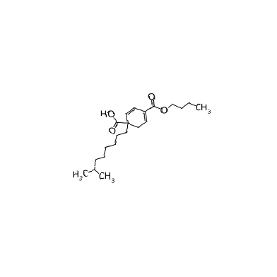 CCCCOC(=O)C1=CCC(CCCCCCC(C)C)(C(=O)O)C=C1